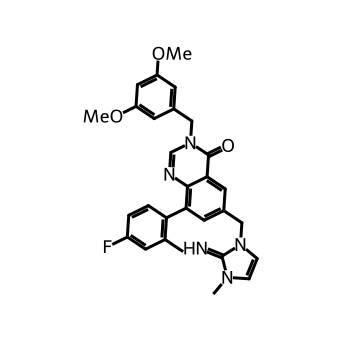 COc1cc(Cn2cnc3c(-c4ccc(F)cc4C)cc(Cn4ccn(C)c4=N)cc3c2=O)cc(OC)c1